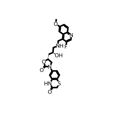 COc1ccc2ncc(F)c(CNC[C@H](O)C[C@@H]3CN(c4ccc5c(c4)NC(=O)CS5)C(=O)O3)c2c1